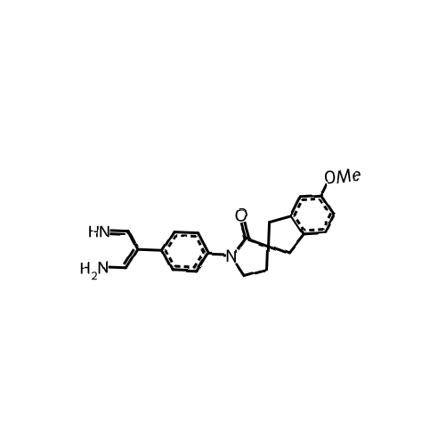 COc1ccc2c(c1)CC1(CCN(c3ccc(/C(C=N)=C/N)cc3)C1=O)C2